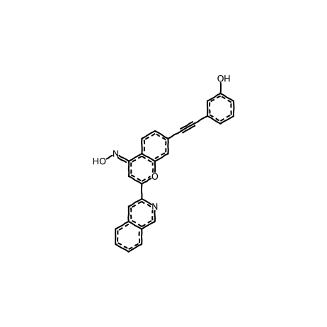 ON=c1cc(-c2cc3ccccc3cn2)oc2cc(C#Cc3cccc(O)c3)ccc12